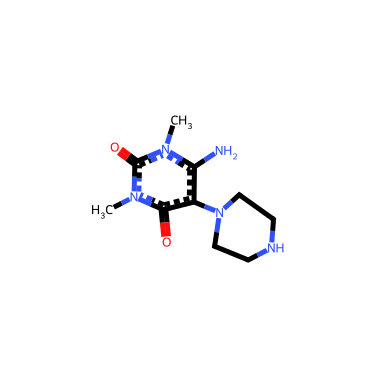 Cn1c(N)c(N2CCNCC2)c(=O)n(C)c1=O